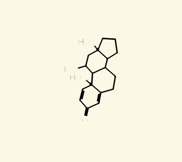 CC12CCCC1C1CCC3=CC(=O)C=CC3(C)C1C(O)C2